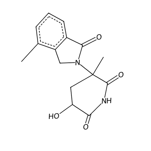 Cc1cccc2c1CN(C1(C)CC(O)C(=O)NC1=O)C2=O